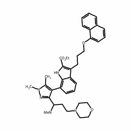 CCOC(=O)c1[nH]c2c(-c3c(C(CCN4CCOCC4)NC)nn(C)c3C)cccc2c1CCCOc1cccc2ccccc12